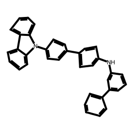 c1ccc(-c2cccc(Nc3ccc(-c4ccc(-n5c6ccccc6c6ccccc65)cc4)cc3)c2)cc1